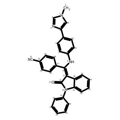 Cn1cnc(-c2ccc(NC(=C3C(=O)N(c4ccccc4)c4ccccc43)c3ccc(C#N)cc3)cc2)c1